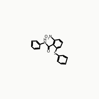 O=C(Nc1ccccc1)c1c(Sc2ccccc2)cccc1[N+](=O)[O-]